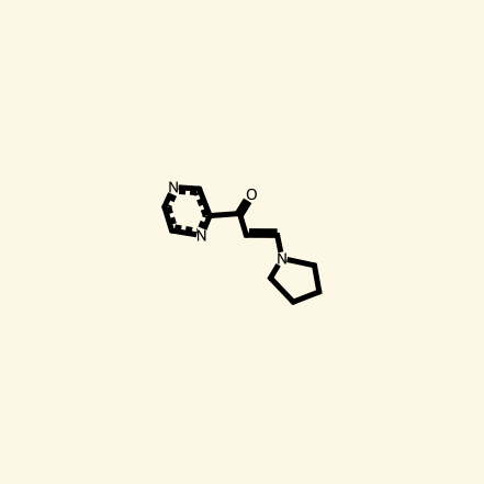 O=C(C=CN1CCCC1)c1cnccn1